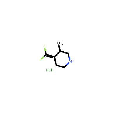 CC1CNCCC1=C(F)F.Cl